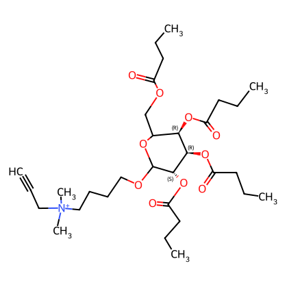 C#CC[N+](C)(C)CCCCOC1OC(COC(=O)CCC)[C@@H](OC(=O)CCC)[C@@H](OC(=O)CCC)[C@@H]1OC(=O)CCC